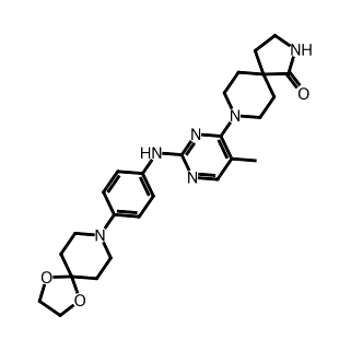 Cc1cnc(Nc2ccc(N3CCC4(CC3)OCCO4)cc2)nc1N1CCC2(CCNC2=O)CC1